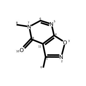 Cc1noc2ncn(C)c(=O)c12